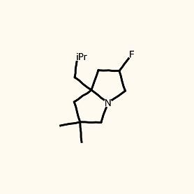 CC(C)CC12CC(F)CN1CC(C)(C)C2